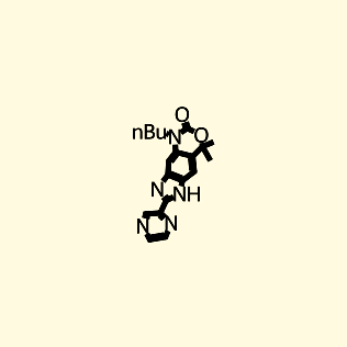 CCCCN1C(=O)OC(C)(C)c2cc3[nH]c(-c4cnccn4)nc3cc21